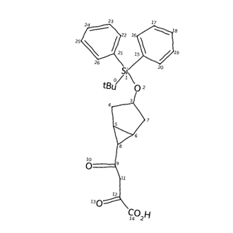 CC(C)(C)[Si](OC1CC2C(C1)C2C(=O)CC(=O)C(=O)O)(c1ccccc1)c1ccccc1